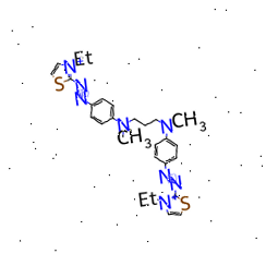 CC[n+]1ccsc1/N=N/c1ccc(N(C)CCCN(C)c2ccc(/N=N/c3scc[n+]3CC)cc2)cc1